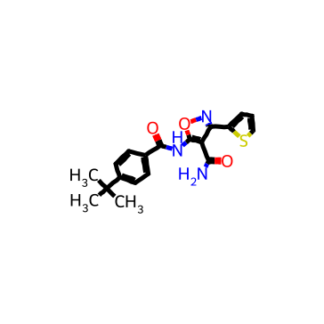 CC(C)(C)c1ccc(C(=O)Nc2onc(-c3cccs3)c2C(N)=O)cc1